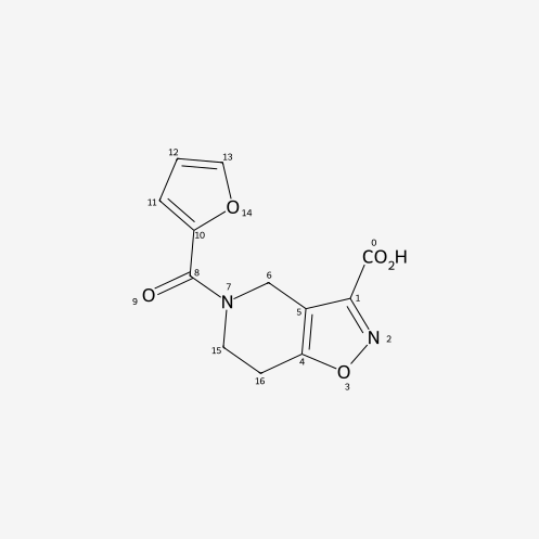 O=C(O)c1noc2c1CN(C(=O)c1ccco1)CC2